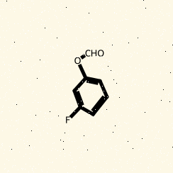 O=COc1cccc(F)c1